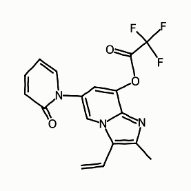 C=Cc1c(C)nc2c(OC(=O)C(F)(F)F)cc(-n3ccccc3=O)cn12